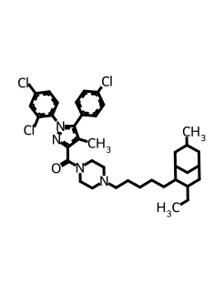 CCC1CC2CC(C)CC(C2)C1CCCCCN1CCN(C(=O)c2nn(-c3ccc(Cl)cc3Cl)c(-c3ccc(Cl)cc3)c2C)CC1